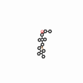 c1ccc(-c2ccc3oc4ccc(-c5c6ccccc6c(-c6ccc7sc8c(-c9c%10ccccc%10c(-c%10ccccc%10)c%10ccccc9%10)cccc8c7c6)c6ccccc56)cc4c3c2)cc1